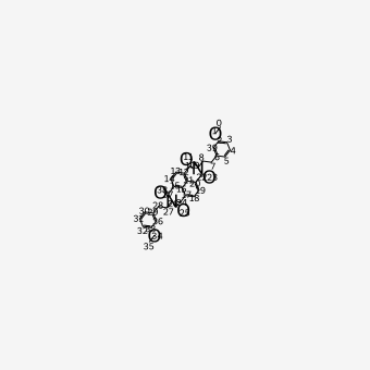 COc1cccc(CCN2C(=O)c3ccc4c5c(ccc(c35)C2=O)C(=O)N(CCc2cccc(OC)c2)C4=O)c1